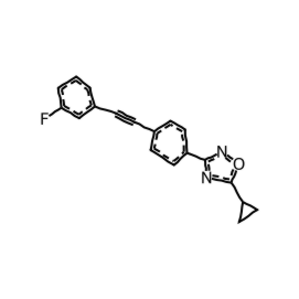 Fc1cccc(C#Cc2ccc(-c3noc(C4CC4)n3)cc2)c1